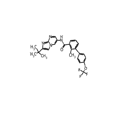 Cc1c(C(=O)Nc2cnc3nc(C(C)(C)C)cn3c2)cccc1-c1ccc(OC(F)(F)F)cc1